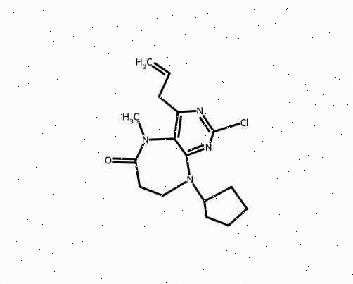 C=CCc1nc(Cl)nc2c1N(C)C(=O)CCN2C1CCCC1